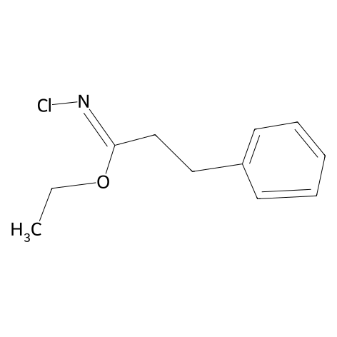 CCO/C(CCc1ccccc1)=N\Cl